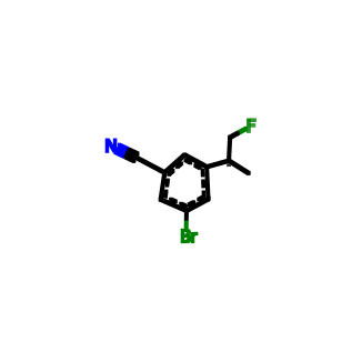 C[C](CF)c1cc(Br)cc(C#N)c1